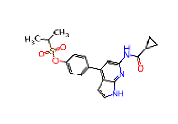 CC(C)S(=O)(=O)Oc1ccc(-c2cc(NC(=O)C3CC3)nc3[nH]ccc23)cc1